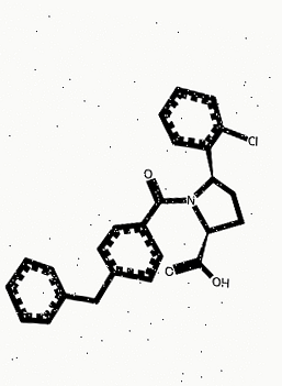 O=C(O)[C@@H]1CC[C@H](c2ccccc2Cl)N1C(=O)c1ccc(Cc2ccccc2)cc1